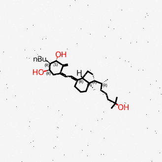 C=C1C(=CC=C2CCC[C@]3(C)[C@@H]([C@H](C)CCCC(C)(C)O)CC[C@@H]23)C[C@@H](O)[C@@H](CCCC)[C@@H]1O